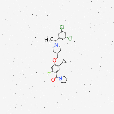 CC(c1cc(Cl)cc(Cl)c1)N1CCC(COc2cc(F)c(C(=O)N3CCCC3)cc2C2CC2)CC1